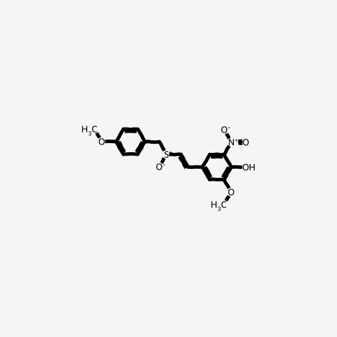 COc1ccc(C[S+]([O-])/C=C/c2cc(OC)c(O)c([N+](=O)[O-])c2)cc1